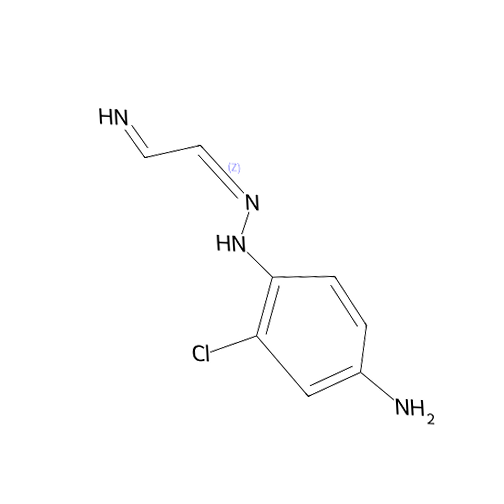 N=C/C=N\Nc1ccc(N)cc1Cl